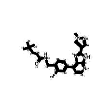 Cn1cc(-c2nc3c(-c4ccc(CNC(=O)CCC(C)(C)C)c(F)c4)ccnc3[nH]2)cn1